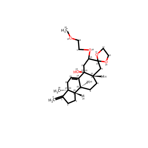 C=C1CC[C@H]2[C@@H]3CC[C@H]4CC5(OCCO5)C(OCCOC)C[C@@]4(O)C3=CC[C@]12C